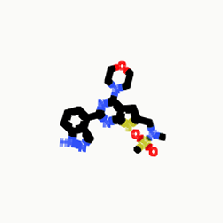 CN(Cc1cc2c(N3CCOCC3)nc(-c3cccc4[nH]ncc34)nc2s1)S(C)(=O)=O